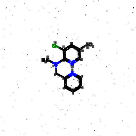 CN(Cc1ccccn1)c1ncc([N+](=O)[O-])cc1Cl